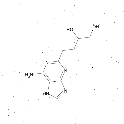 Nc1nc(CCC(O)CO)nc2nc[nH]c12